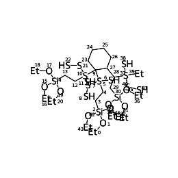 CCO[Si](CCS(S)(SS)C1(S(S)(CC[Si](OCC)(OCC)OCC)SS)CCCCC1C(C[Si](OCC)(OCC)OCC)S(S)(CC)SS)(OCC)OCC